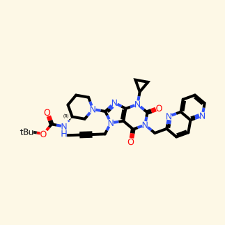 CC#CCn1c(N2CCC[C@@H](NC(=O)OC(C)(C)C)C2)nc2c1c(=O)n(Cc1ccc3ncccc3n1)c(=O)n2C1CC1